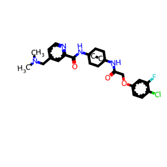 CN(C)Cc1ccnc(C(=O)NC23CCC(NC(=O)COc4ccc(Cl)c(F)c4)(CC2)CC3)c1